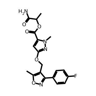 Cc1onc(-c2ccc(F)cc2)c1COc1cc(C(=O)OC(C)C(N)=O)n(C)n1